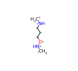 CNCCCONC